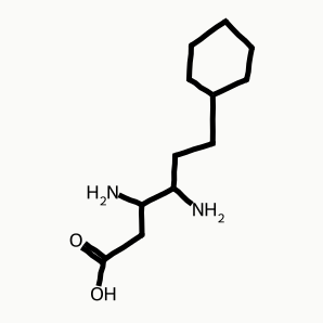 NC(CCC1CCCCC1)C(N)CC(=O)O